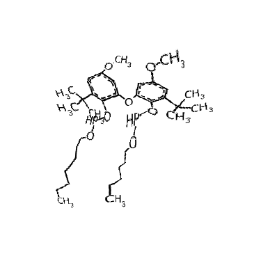 CCCCCCOPOc1c(Oc2cc(OC)cc(C(C)(C)C)c2OPOCCCCCC)cc(OC)cc1C(C)(C)C